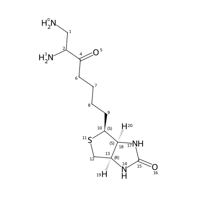 NCC(N)C(=O)CCCC[C@@H]1SC[C@@H]2NC(=O)N[C@@H]21